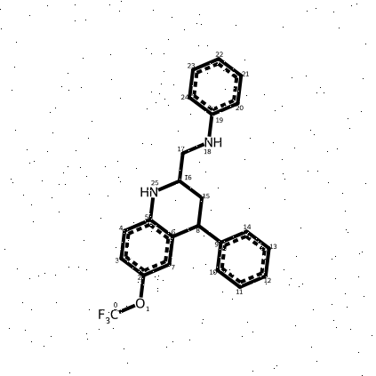 FC(F)(F)Oc1ccc2c(c1)C(c1ccccc1)CC(CNc1ccccc1)N2